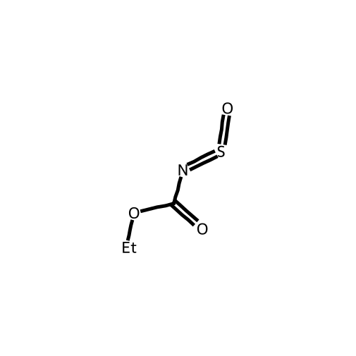 CCOC(=O)N=S=O